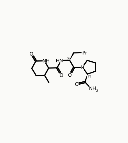 CC(C)C[C@H](NC(=O)C1NC(=O)CCC1C)C(=O)N1CCC[C@H]1C(N)=O